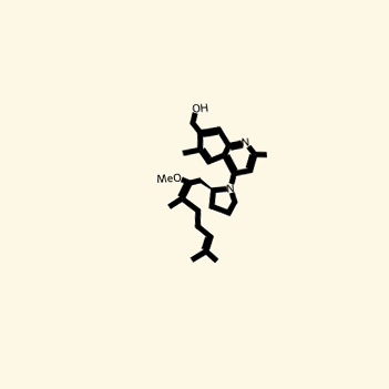 CO/C(C[C@@H]1CCCN1c1cc(C)nc2cc(CO)c(C)cc12)=C(\C)CCC=C(C)C